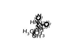 CC(C)(CO)CNc1cc(Nc2ccncc2)nc(-c2ccccc2)n1